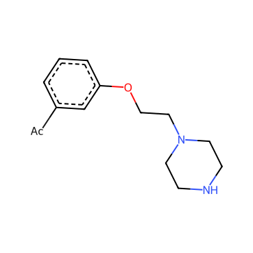 CC(=O)c1cccc(OCCN2CCNCC2)c1